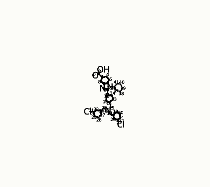 O=C(O)c1ccc2c(c1)nc(-c1ccc(CN(Cc3cccc(Cl)c3)Cc3cccc(Cl)c3)cc1)n2C1CCCCC1